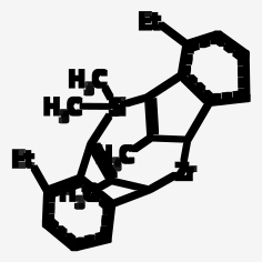 CCc1cccc2c1C1=C(C)[CH]2[Zr][CH]2C(C)=C(c3c(CC)cccc32)[Si]1(C)C